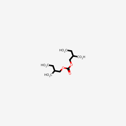 O=C(O)CC(COC(=O)OCC(CC(=O)O)C(=O)O)C(=O)O